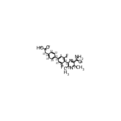 Cc1nc(C)c(-c2c(F)cc(-c3ccc(CC(=O)O)cc3)cc2F)nc1C(N)=O